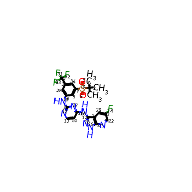 CC(C)(C)S(=O)(=O)c1cc(Nc2nccc(Nc3n[nH]c4ncc(F)cc34)n2)cc(C(F)(F)F)c1